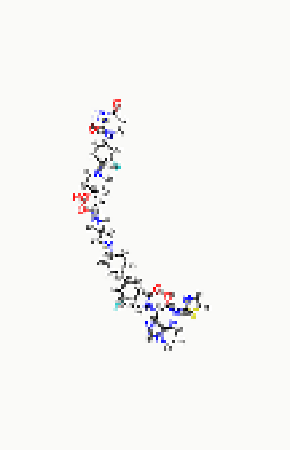 O=C1CCN(c2ccc(N3CCC(O)(CC(=O)N4CC5(C4)CN(c4ccc(-c6cc(F)c7c(c6)C(=O)N(C(C(=O)Nc6nccs6)c6ncn8c6CCC8)C7)cc4)C5)CC3)c(F)c2)C(=O)N1